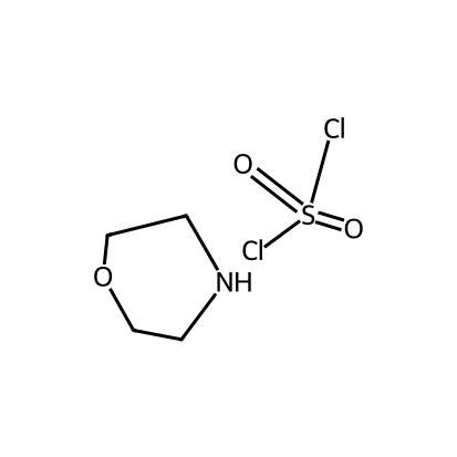 C1COCCN1.O=S(=O)(Cl)Cl